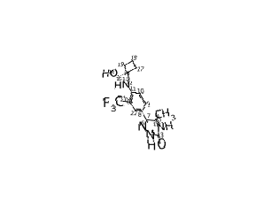 C[C@@H]1NC(=O)NN=C1c1ccc(NCC2(CO)CCC2)c(C(F)(F)F)c1